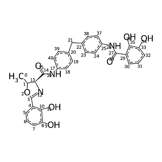 CC1OC(c2cccc(O)c2O)=N[C@@H]1C(=O)Nc1ccc(Cc2ccc(NC(=O)c3cccc(O)c3O)cc2)cc1